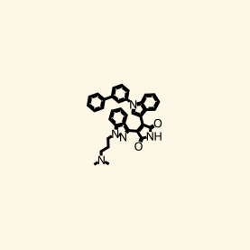 CN(C)CCCn1nc(C2=C(c3cn(-c4cccc(-c5ccccc5)c4)c4ccccc34)C(=O)NC2=O)c2ccccc21